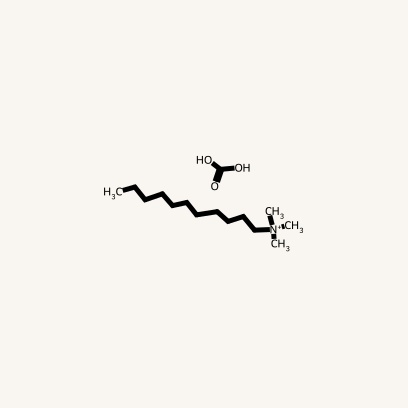 CCCCCCCCCCC[N+](C)(C)C.O=C(O)O